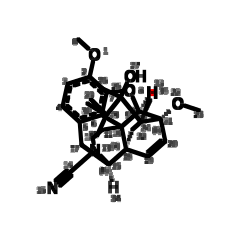 COc1ccc2c3c1O[C@@H]1C34CCN(C#N)[C@H](C2)[C@]42C=C[C@@]1(OC)[C@@H](C(C)(O)C(C)(C)C)C2